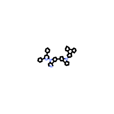 c1ccc(-c2cc(-c3ccccc3)nc(-n3c4ccncc4c4cc(-c5ccc6c(c5)c5ccccc5n6-c5ccc6c7ccccc7c7ccccc7c6c5)ccc43)c2)cc1